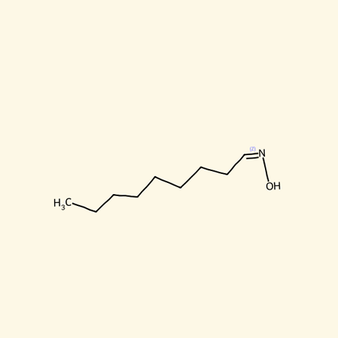 CCCCCCCC/C=N\O